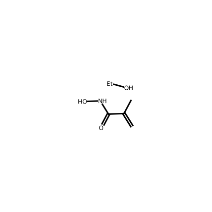 C=C(C)C(=O)NO.CCO